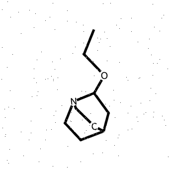 CCOC1CC2CCN1CC2